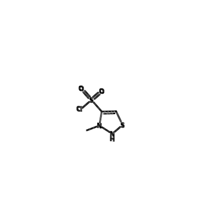 CN1NSC=C1S(=O)(=O)Cl